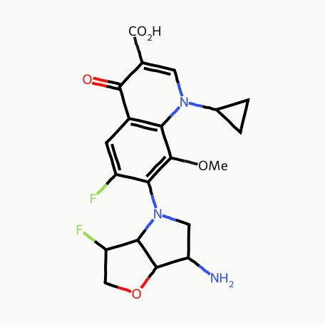 COc1c(N2CC(N)C3OCC(F)C32)c(F)cc2c(=O)c(C(=O)O)cn(C3CC3)c12